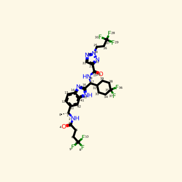 C[C@@H](NC(=O)CCC(F)(F)F)c1ccc2nc([C@@H](NC(=O)c3cnn(CCC(F)(F)F)n3)C3CCC(F)(F)CC3)[nH]c2c1